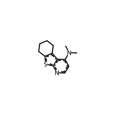 CN(C)c1ccnc2sc3c(c12)CCCC3